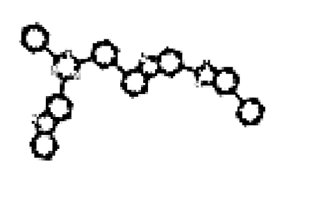 c1ccc(-c2ccc3nc(-c4ccc5sc6c(-c7cccc(-c8nc(-c9ccccc9)nc(-c9ccc%10c(c9)oc9ccccc9%10)n8)c7)cccc6c5c4)oc3c2)cc1